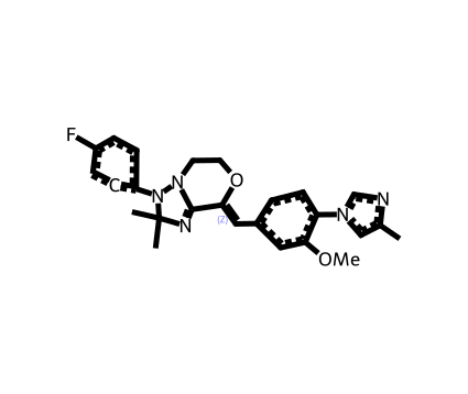 COc1cc(/C=C2\OCCN3C2=NC(C)(C)N3c2ccc(F)cc2)ccc1-n1cnc(C)c1